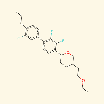 CCCc1ccc(-c2ccc(C3CCC(CCOCC)CO3)c(F)c2F)cc1F